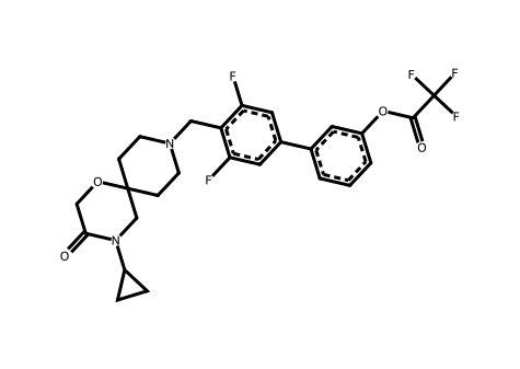 O=C1COC2(CCN(Cc3c(F)cc(-c4cccc(OC(=O)C(F)(F)F)c4)cc3F)CC2)CN1C1CC1